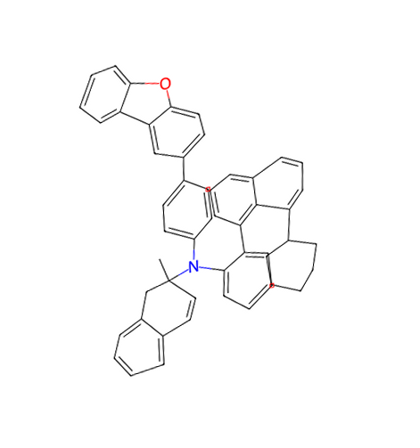 CC1(N(c2ccc(-c3ccc4oc5ccccc5c4c3)cc2)c2ccccc2-c2cccc3cccc(C4CCCCC4)c23)C=Cc2ccccc2C1